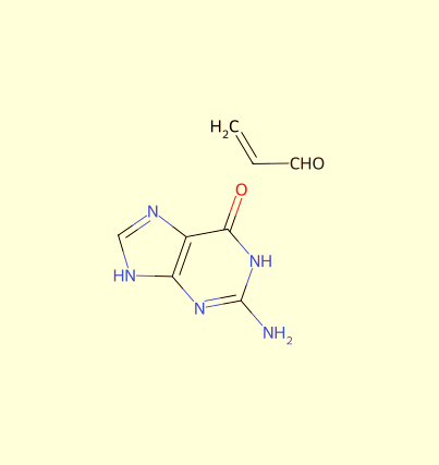 C=CC=O.Nc1nc2[nH]cnc2c(=O)[nH]1